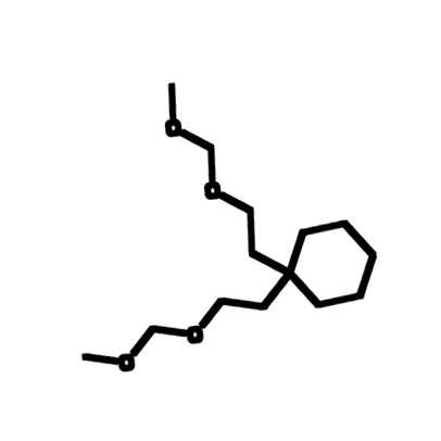 COCOCCC1(CCOCOC)CCCCC1